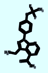 CC(F)(F)Oc1ccc(-n2nc(CN)c3c(C(N)=O)ccnc32)cc1